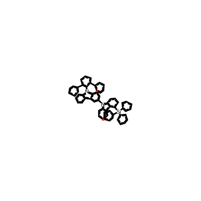 c1ccc(-c2cccc(-c3ccccc3)c2-n2c3ccccc3c3cc(-n4c5ccccc5c5c([Si](c6ccccc6)(c6ccccc6)c6ccccc6)cccc54)ccc32)cc1